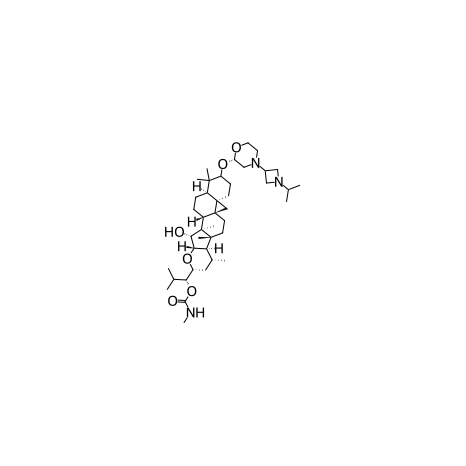 CNC(=O)O[C@H](C(C)C)[C@H]1C[C@@H](C)[C@H]2[C@H](O1)[C@H](O)[C@@]1(C)[C@@H]3CC[C@H]4C(C)(C)C(O[C@H]5CN(C6CN(C(C)C)C6)CCO5)CC[C@@]45C[C@@]35CC[C@]21C